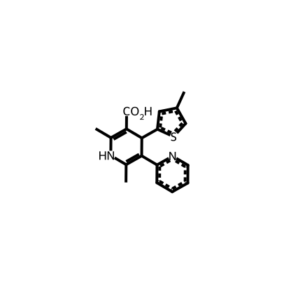 CC1=C(C(=O)O)C(c2cc(C)cs2)C(c2ccccn2)=C(C)N1